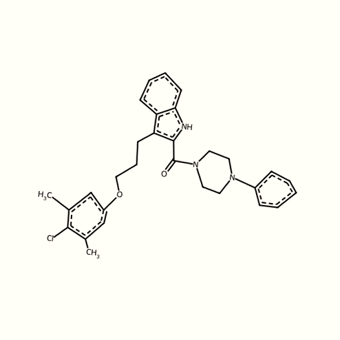 Cc1cc(OCCCc2c(C(=O)N3CCN(c4ccccc4)CC3)[nH]c3ccccc23)cc(C)c1Cl